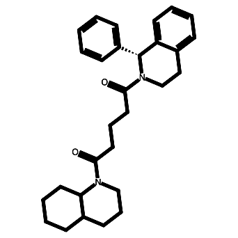 O=C(CCCC(=O)N1CCc2ccccc2[C@H]1c1ccccc1)N1CCCC2CCCCC21